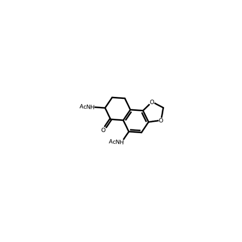 CC(=O)Nc1cc2c(c3c1C(=O)C(NC(C)=O)CC3)OCO2